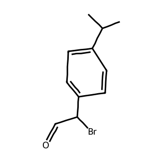 CC(C)c1ccc(C(Br)C=O)cc1